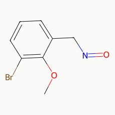 COc1c(Br)cccc1CN=O